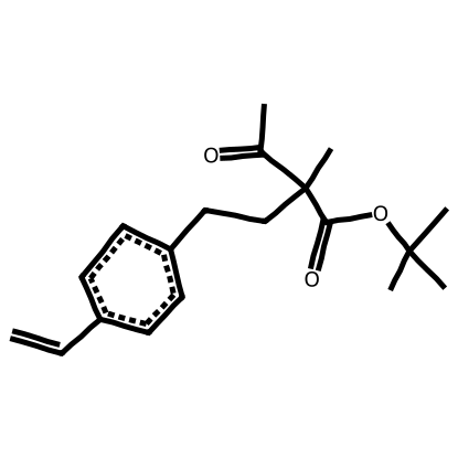 C=Cc1ccc(CCC(C)(C(C)=O)C(=O)OC(C)(C)C)cc1